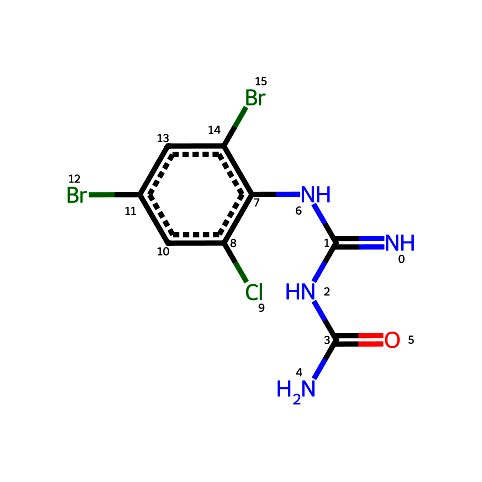 N=C(NC(N)=O)Nc1c(Cl)cc(Br)cc1Br